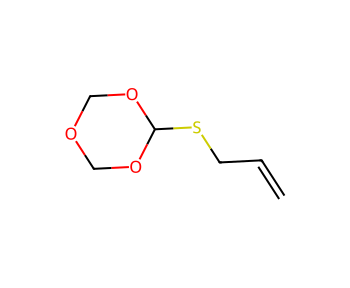 C=CCSC1OCOCO1